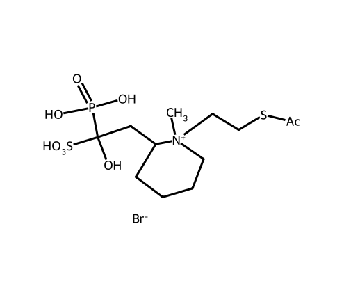 CC(=O)SCC[N+]1(C)CCCCC1CC(O)(P(=O)(O)O)S(=O)(=O)O.[Br-]